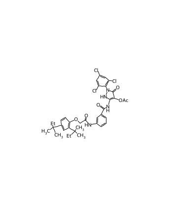 CCC(C)(C)c1ccc(OCC(=O)Nc2cccc(C(=O)Nc3[nH]n(-c4c(Cl)cc(Cl)cc4Cl)c(=O)c3OC(C)=O)c2)c(C(C)(C)CC)c1